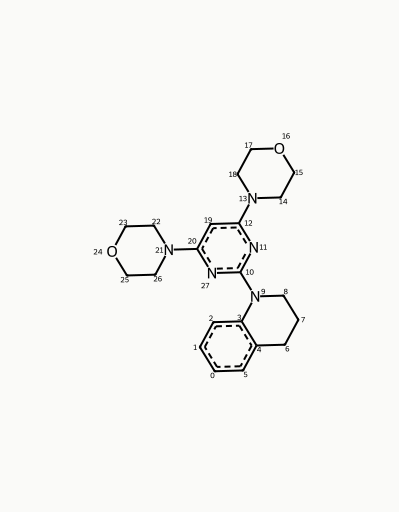 c1ccc2c(c1)CCCN2c1nc(N2CCOCC2)cc(N2CCOCC2)n1